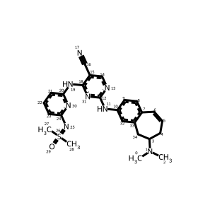 CN(C)C1CC=Cc2ccc(Nc3ncc(C#N)c(Nc4cccc(N=S(C)(C)=O)n4)n3)cc2C1